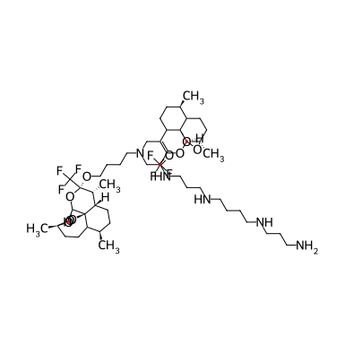 C[C@@H]1CCC2C(CN(CCCCO[C@@]3(C(F)(F)F)O[C@@H]4O[C@]5(C)CCC6[C@H](C)CC[C@@H]([C@H]3C)[C@]64OO5)CC(=O)NCCCNCCCCNCCCN)=C(C(F)(F)F)O[C@@H]3O[C@]4(C)CCC1[C@@]23O4